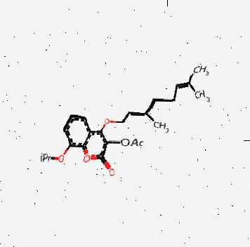 CC(=O)Oc1c(OC/C=C(\C)CCC=C(C)C)c2cccc(OC(C)C)c2oc1=O